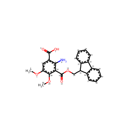 COc1cc(C(=O)O)c(N)c(C(=O)OCC2c3ccccc3-c3ccccc32)c1OC